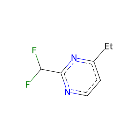 CCc1ccnc(C(F)F)n1